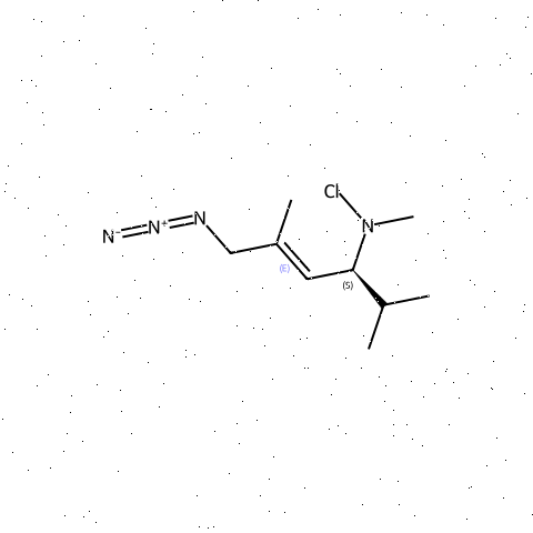 C/C(=C\[C@H](C(C)C)N(C)Cl)CN=[N+]=[N-]